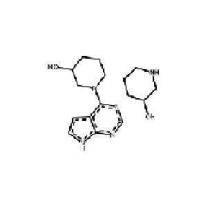 OC1CCCN(c2ncnc3[nH]ccc23)C1.OC1CCCNC1